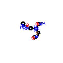 O=C(Nc1ccc(-c2nc(-c3ccc(CN4CCOCC4)s3)nc(C3CNCCO3)n2)cc1)Nc1ccccn1